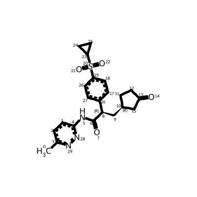 Cc1ccc(NC(=O)[C@H](C[C@H]2CCC(=O)C2)c2ccc(S(=O)(=O)C3CC3)cc2)nn1